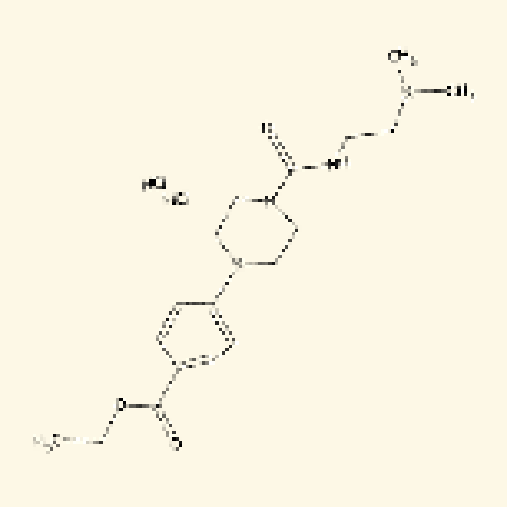 CCOC(=O)c1ccc(N2CCN(C(=O)NCCN(C)C)CC2)cc1.Cl.Cl